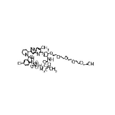 C#CCOCCOCCOCCOCCO[C@H]1CN(c2nc3cc([C@@H]4CCCCN4C(=O)c4cc(Cl)ccc4NS(C)(=O)=O)nn3cc2C)C[C@H]1NC(=O)OC(C)(C)C